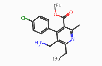 Cc1nc(CC(C)(C)C)c(CN)c(-c2ccc(Cl)cc2)c1C(=O)OC(C)(C)C